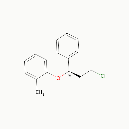 Cc1ccccc1O[C@H](CCCl)c1ccccc1